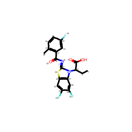 CCC(C(=O)O)n1/c(=N/C(=O)c2cc(F)ccc2C)sc2cc(F)c(F)cc21